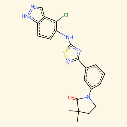 CC1(C)CCN(c2cccc(-c3nsc(Nc4ccc5[nH]ncc5c4Cl)n3)c2)C1=O